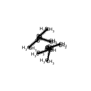 CC(C)CCCCCCCCCCCc1c(CCCCCCCCCCCC(C)C)c(C(=O)O)c(C(=O)O)c(CCCCCCCCCCCC(C)C)c1C(=O)O.CC(C)CCCCCCCCCCOC(=O)c1ccc(C(=O)OCCCCCCCCCCC(C)C)c(C(=O)OCCCCCCCCCCC(C)C)c1